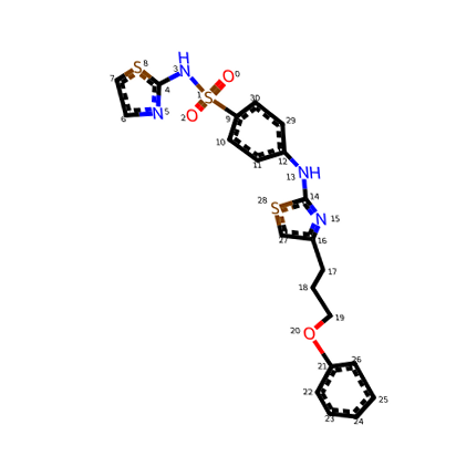 O=S(=O)(Nc1nccs1)c1ccc(Nc2nc(CCCOc3ccccc3)cs2)cc1